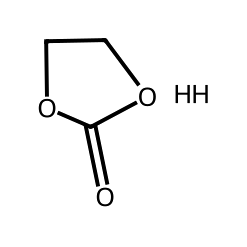 O=C1OCCO1.[HH]